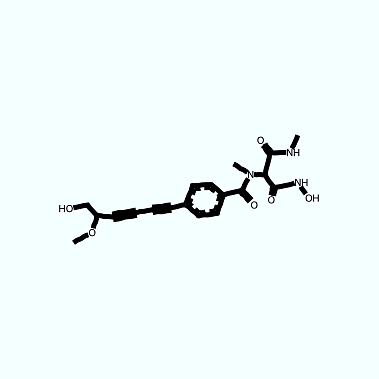 CNC(=O)C(C(=O)NO)N(C)C(=O)c1ccc(C#CC#CC(CO)OC)cc1